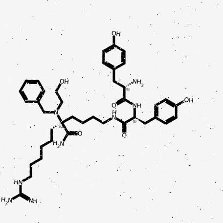 N=C(N)NCCCCCC[C@](CCCCNC(=O)[C@H](Cc1ccc(O)cc1)NC(=O)[C@@H](N)Cc1ccc(O)cc1)(C(N)=O)N(CCO)Cc1ccccc1